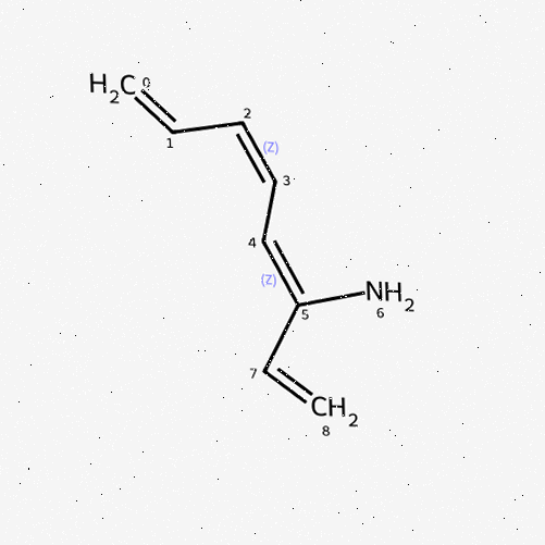 C=C/C=C\C=C(/N)C=C